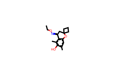 CCON=C1CC2(CCC2)Oc2cc(C)c(O)c(C)c21